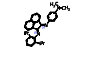 CC(C)c1cccc(C(C)C)c1/N=C1/C(=N/c2ccc(N(C)C)cc2)c2cccc3cccc1c23